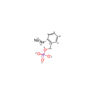 O=P([O-])([O-])OCc1ccccc1.[Na+].[Na+]